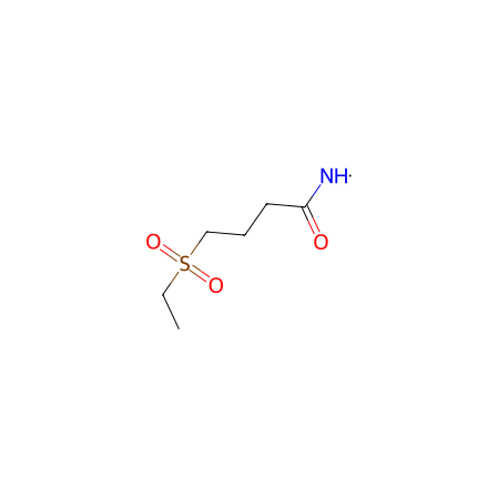 CCS(=O)(=O)CCCC([NH])=O